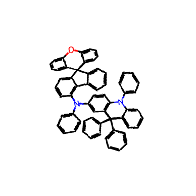 c1ccc(N(c2ccc3c(c2)C(c2ccccc2)(c2ccccc2)c2ccccc2N3c2ccccc2)c2cccc3c2-c2ccccc2C32c3ccccc3Oc3ccccc32)cc1